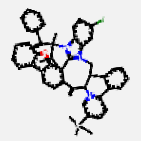 C=C1c2ccc3c(oc4ccccc43)c2-c2n(C(C)(C(=C)c3ccccc3)C(C)C)c3ccc(F)cc3[n+]2CC2c3ccccc3-c3ccc([Si](C)(C)C)c[n+]3C12